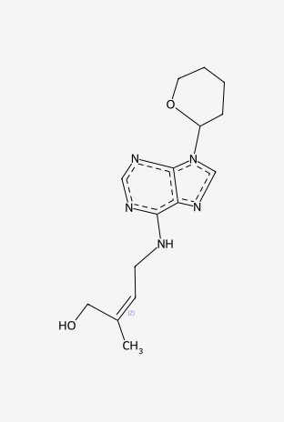 C/C(=C/CNc1ncnc2c1ncn2C1CCCCO1)CO